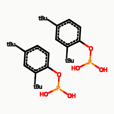 CC(C)(C)c1ccc(OP(O)O)c(C(C)(C)C)c1.CC(C)(C)c1ccc(OP(O)O)c(C(C)(C)C)c1